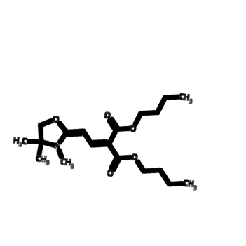 CCCCOC(=O)C(=CC=C1OCC(C)(C)N1C)C(=O)OCCCC